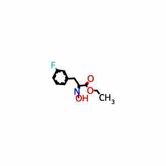 CCOC(=O)C(Cc1cccc(F)c1)=NO